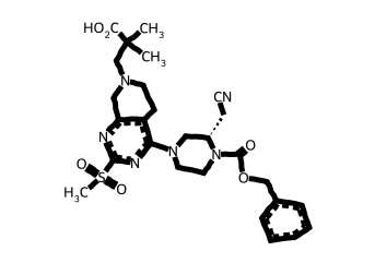 CC(C)(CN1CCc2c(nc(S(C)(=O)=O)nc2N2CCN(C(=O)OCc3ccccc3)[C@@H](CC#N)C2)C1)C(=O)O